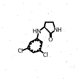 O=C1NCCC1Nc1cc(Cl)cc(Cl)c1